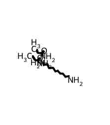 CC=CC(N)=O.CC=CC(N)=O.NCCCCCCCCCCN